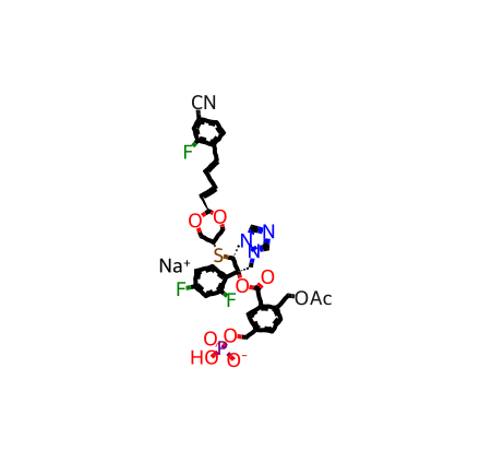 CC(=O)OCc1ccc(COP(=O)([O-])O)cc1C(=O)O[C@@](Cn1cncn1)(c1ccc(F)cc1F)[C@@H](C)S[C@H]1CO[C@H](C=CC=Cc2ccc(C#N)cc2F)OC1.[Na+]